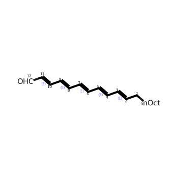 CCCCCCCCC/C=C/C=C/C=C/C=C/C=C/C=O